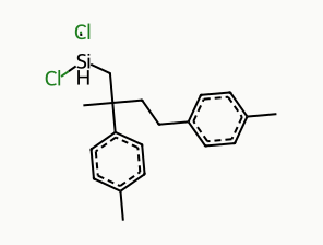 Cc1ccc(CCC(C)(C[SiH](Cl)Cl)c2ccc(C)cc2)cc1